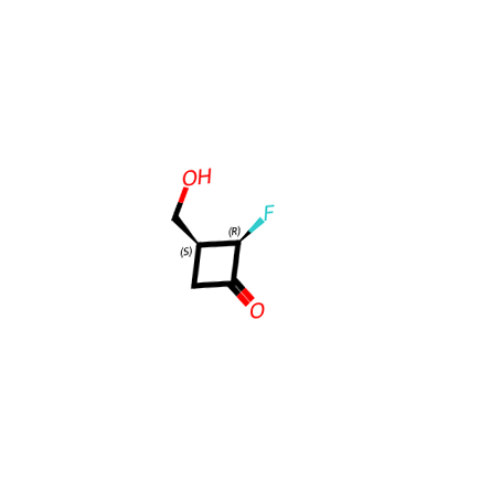 O=C1C[C@@H](CO)[C@H]1F